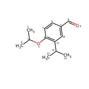 CC(C)Oc1ccc(C=O)cc1C(C)C